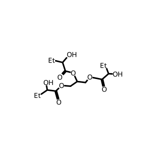 CCC(O)C(=O)OCC(COC(=O)C(O)CC)OC(=O)C(O)CC